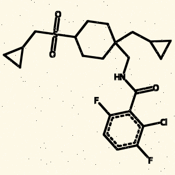 O=C(NCC1(CC2CC2)CCC(S(=O)(=O)CC2CC2)CC1)c1c(F)ccc(F)c1Cl